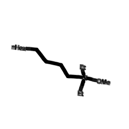 CCCCCCCCCC[Si](CC)(CC)OC